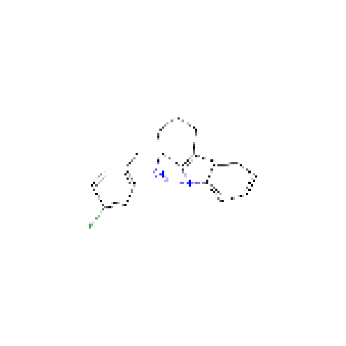 NC1(Cc2ccc(F)cc2)CCCc2c1[nH]c1ccccc21